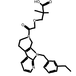 CCc1cccc(Cn2c3c(c4cccnc42)CCN(C(=O)COCC(C)(C)C(=O)O)C3)c1